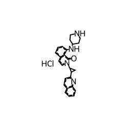 Cl.O=c1c2c(NC3CCNCC3)cccc2ccn1C1CC1c1ccc2ccccc2n1